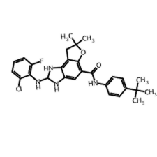 CC1(C)Cc2c3c(cc(C(=O)Nc4ccc(C(C)(C)C)cc4)c2O1)NC(Nc1c(F)cccc1Cl)N3